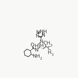 CC(C)C[C@@H](CNc1nn[nH]n1)NC(=O)[C@@H]1CCCC[C@@H]1N